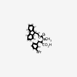 CC(C)c1cccc(CC(C(=O)O)N(C)C(=O)OCC2c3ccccc3-c3ccccc32)c1